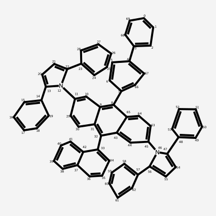 c1ccc(-c2ccc(-c3c4cc(-n5c(-c6ccccc6)ccc5-c5ccccc5)ccc4c(-c4cccc5ccccc45)c4cc(-n5c(-c6ccccc6)ccc5-c5ccccc5)ccc34)cc2)cc1